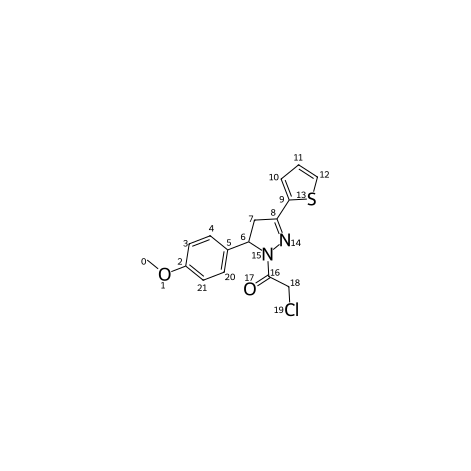 COc1ccc(C2CC(c3cccs3)=NN2C(=O)CCl)cc1